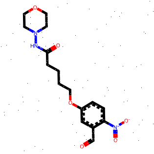 O=Cc1cc(OCCCCC(=O)NN2CCOCC2)ccc1[N+](=O)[O-]